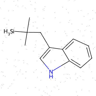 CC(C)([SiH3])Cc1c[nH]c2ccccc12